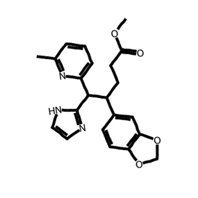 COC(=O)CCC(c1ccc2c(c1)OCO2)C(c1cccc(C)n1)c1ncc[nH]1